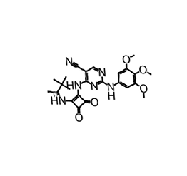 COc1cc(Nc2ncc(C#N)c(Nc3c(N[C@@H](C)C(C)(C)C)c(=O)c3=O)n2)cc(OC)c1OC